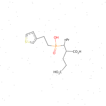 CCCC(C(CCC(=O)O)C(=O)O)P(=O)(O)CCc1ccsc1